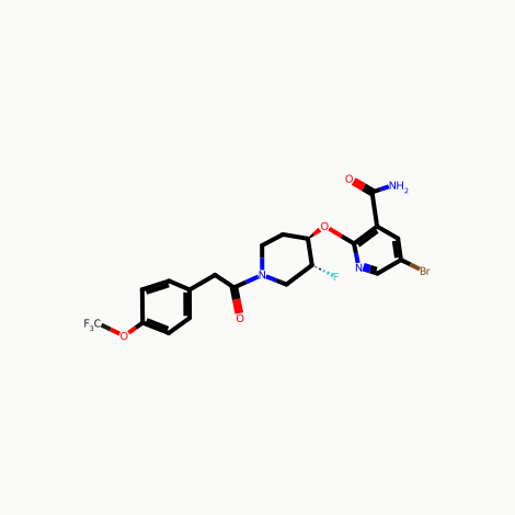 NC(=O)c1cc(Br)cnc1O[C@@H]1CCN(C(=O)Cc2ccc(OC(F)(F)F)cc2)C[C@H]1F